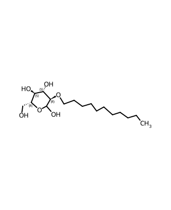 CCCCCCCCCCCO[C@H]1C(O)O[C@H](CO)[C@@H](O)[C@@H]1O